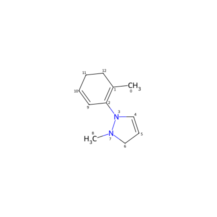 CC1=C(N2C=CCN2C)C=CCC1